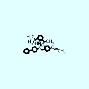 CCCOc1ccc(CN(C(=O)Nc2c(C(C)C)cccc2C(C)C)C2CCC(c3ccccc3)CC2)cc1